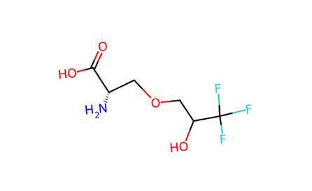 N[C@@H](COCC(O)C(F)(F)F)C(=O)O